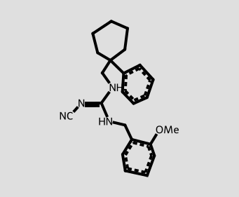 COc1ccccc1CN/C(=N\C#N)NCC1(c2ccccc2)CCCCC1